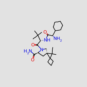 CC(C)(C)[C@H](NC(=O)[C@@H](N)C1CCCCC1)C(=O)N1C[C@]2(C[C@H]1C(N)=O)C(C)(C)C21CCC1